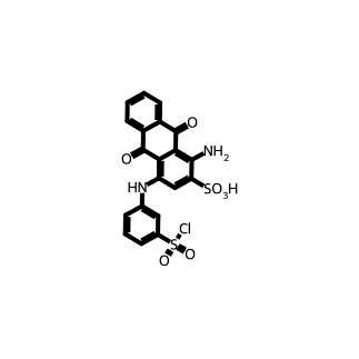 Nc1c(S(=O)(=O)O)cc(Nc2cccc(S(=O)(=O)Cl)c2)c2c1C(=O)c1ccccc1C2=O